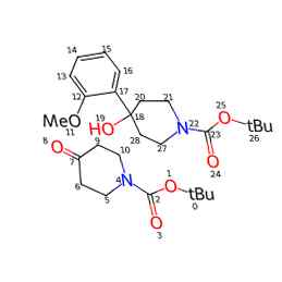 CC(C)(C)OC(=O)N1CCC(=O)CC1.COc1ccccc1C1(O)CCN(C(=O)OC(C)(C)C)CC1